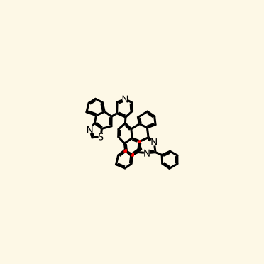 c1ccc(-c2cc(-c3ccccc3-c3c(-c4ccncc4-c4cc5scnc5c5ccccc45)ccc4ccccc34)nc(-c3ccccc3)n2)cc1